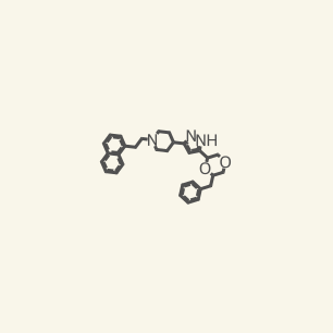 c1ccc(CC2COCC(c3cc(C4CCN(CCc5cccc6ccccc56)CC4)n[nH]3)O2)cc1